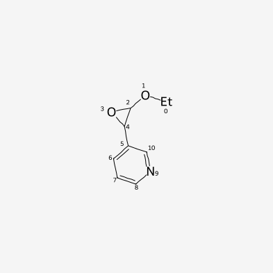 CCOC1OC1c1cccnc1